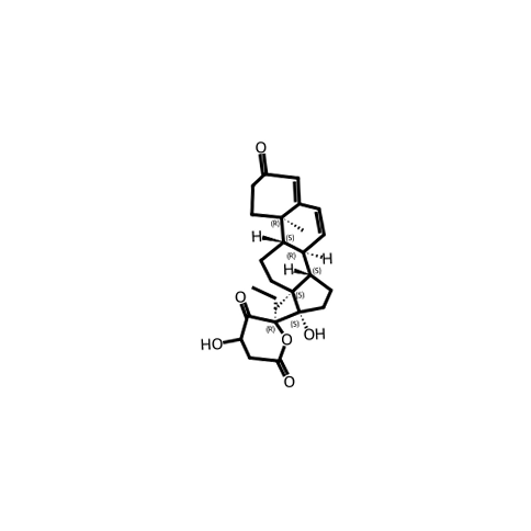 CC[C@]1([C@]2(O)CC[C@H]3[C@@H]4C=CC5=CC(=O)CC[C@]5(C)[C@H]4CC[C@@]32C)OC(=O)CC(O)C1=O